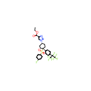 CCOC(=O)c1cn([C@H]2CC[C@@](c3ccc(C(F)(C(F)(F)F)C(F)(F)F)cc3)(S(=O)(=O)c3ccc(F)cc3)CC2)nn1